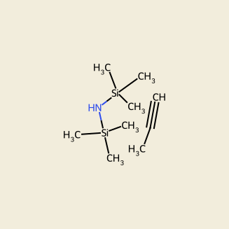 C#CC.C[Si](C)(C)N[Si](C)(C)C